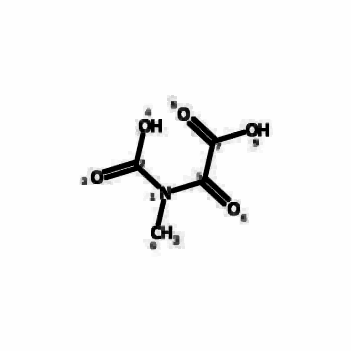 CN(C(=O)O)C(=O)C(=O)O